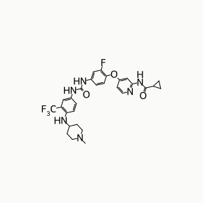 CN1CCC(Nc2ccc(NC(=O)Nc3ccc(Oc4ccnc(NC(=O)C5CC5)c4)c(F)c3)cc2C(F)(F)F)CC1